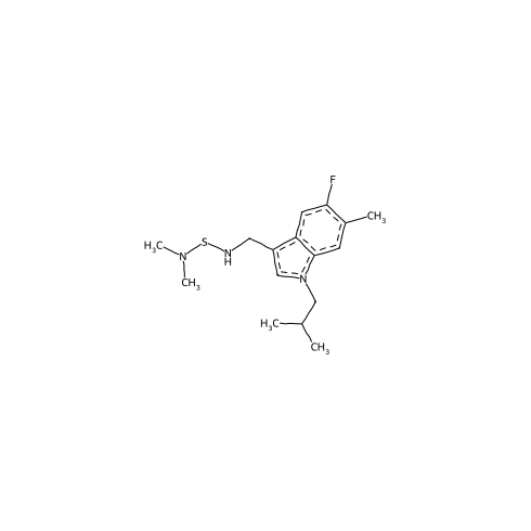 Cc1cc2c(cc1F)c(CNSN(C)C)cn2CC(C)C